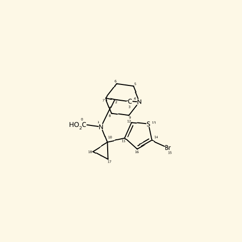 O=C(O)N(C1CN2CCC1CC2)C1(c2csc(Br)c2)CC1